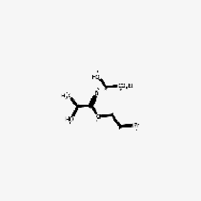 CC(C)CCOC(=O)C(C)O.CCOC(=O)CO